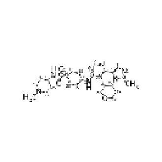 Cc1ncc(-c2ccnc(Nc3ccc(S(=O)(=O)NC4CCN(C)CC4)cc3)n2)n1C1CCOCC1